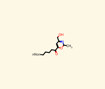 CCCCCCCCCCCCCC(=O)C1=CC(CO)=NC(C)O1